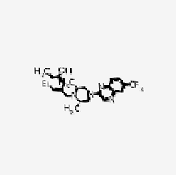 C=C/C(O)=C\C(=C/CC)CN1[C@H](C)CN(c2cnc3cc(C(F)(F)F)ccc3n2)C[C@@H]1C